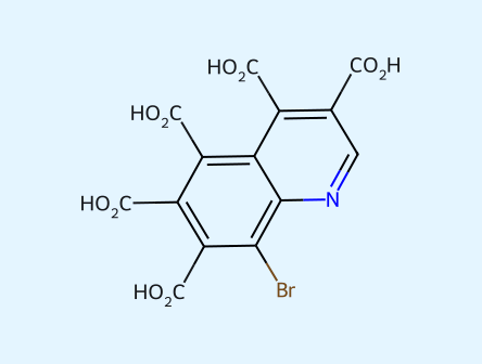 O=C(O)c1cnc2c(Br)c(C(=O)O)c(C(=O)O)c(C(=O)O)c2c1C(=O)O